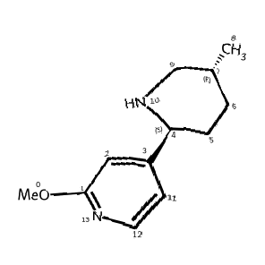 COc1cc([C@@H]2CC[C@@H](C)CN2)ccn1